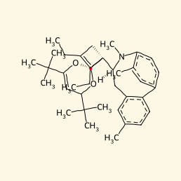 CCC1=C(CC)[C@@]([C@H]2OC(C(C)(C)C)=CC(C(C)(C)C)O2)([C@@H]2Cc3cc(C)ccc3-c3ccc(c(C)c3)N2C)C1